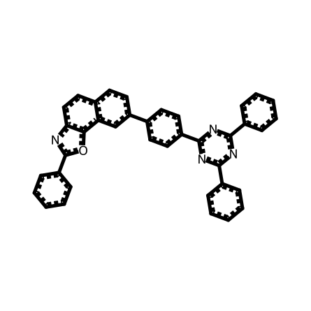 c1ccc(-c2nc(-c3ccccc3)nc(-c3ccc(-c4ccc5ccc6nc(-c7ccccc7)oc6c5c4)cc3)n2)cc1